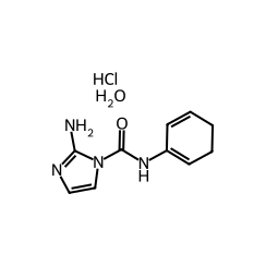 Cl.Nc1nccn1C(=O)NC1=CCCC=C1.O